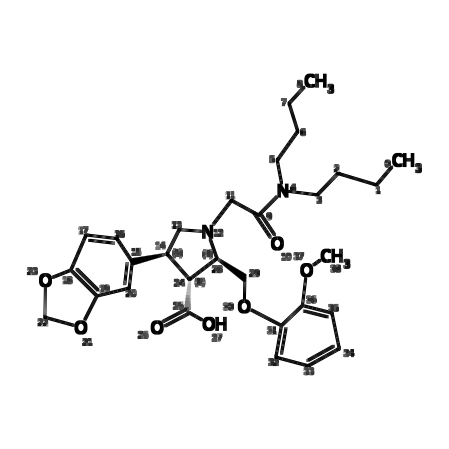 CCCCN(CCCC)C(=O)CN1C[C@H](c2ccc3c(c2)OCO3)[C@@H](C(=O)O)[C@@H]1COc1ccccc1OC